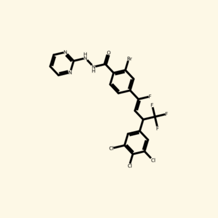 O=C(NNc1ncccn1)c1ccc(C(F)=CC(c2cc(Cl)c(Cl)c(Cl)c2)C(F)(F)F)cc1Br